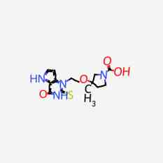 CC1(OCCn2c(=S)[nH]c(=O)c3[nH]ccc32)CCN(C(=O)O)C1